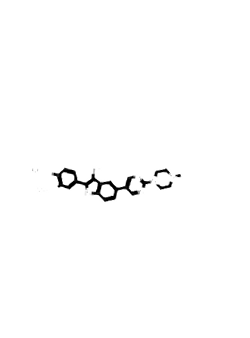 COc1ccc(-c2[nH]c3ccc(-c4cnc(N5CCN(C)CC5)nc4)cc3c2C(C)C)cc1OC